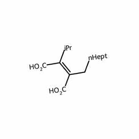 CCCCCCCCC(C(=O)O)=C(C(=O)O)C(C)C